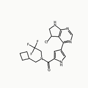 O=C(c1cc(-c2ncnc3c2C(Cl)CN3)c[nH]1)N(CC1CCC1)CC(F)(F)F